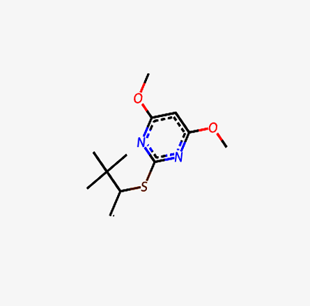 [CH2]C(Sc1nc(OC)cc(OC)n1)C(C)(C)C